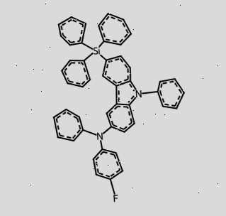 Fc1ccc(N(c2ccccc2)c2ccc3c(c2)c2cc([Si](c4ccccc4)(c4ccccc4)c4ccccc4)ccc2n3-c2ccccc2)cc1